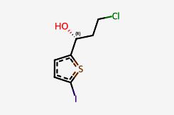 O[C@H](CCCl)c1ccc(I)s1